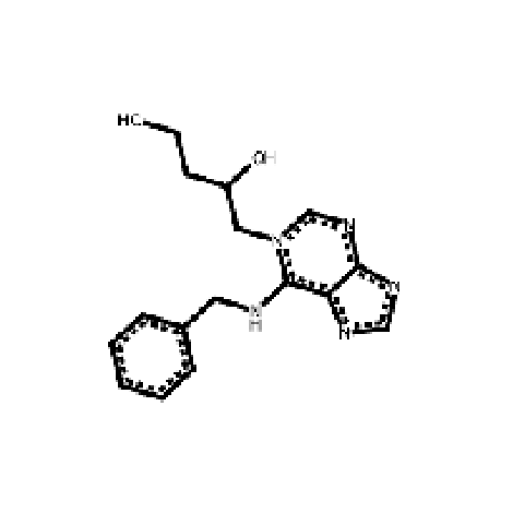 OCCC(O)Cn1cnc2ncnc-2c1NCc1ccccc1